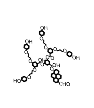 O=Cc1ccc2ccc3c(OC(O)c4cc(OC(=O)c5cc(OCCCOc6ccc(O)cc6)cc(OCCCOc6ccc(O)cc6)c5)cc(OC(O)c5cc(OCCCOc6ccc(O)cc6)cc(OCCCOc6ccc(O)cc6)c5)c4)ccc4ccc1c2c43